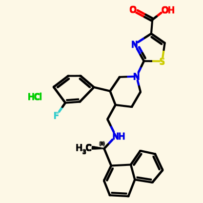 C[C@@H](NCC1CCN(c2nc(C(=O)O)cs2)CC1c1cccc(F)c1)c1cccc2ccccc12.Cl